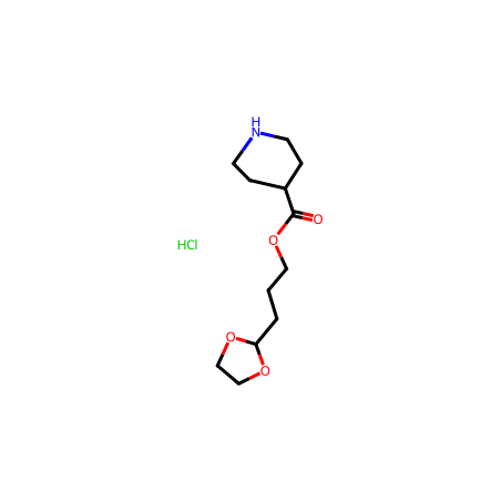 Cl.O=C(OCCCC1OCCO1)C1CCNCC1